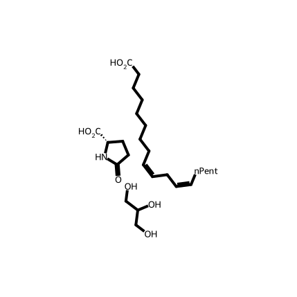 CCCCC/C=C\C/C=C\CCCCCCCC(=O)O.O=C1CC[C@@H](C(=O)O)N1.OCC(O)CO